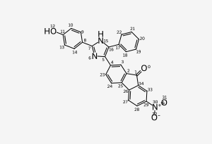 O=C1c2cc(-c3nc(-c4ccc(O)cc4)[nH]c3-c3ccccc3)ccc2-c2ccc([N+](=O)[O-])cc21